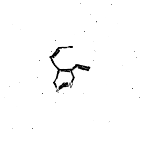 C=CC1=C(/C=C\C)CN=N1